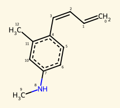 C=C/C=C\c1ccc(NC)cc1C